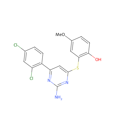 COc1ccc(O)c(Sc2cc(-c3ccc(Cl)cc3Cl)nc(N)n2)c1